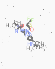 C[C@H](NCc1ccc2c(c1)nc(NC(=O)c1ccc(C(F)F)s1)n2CC1CN(C(=O)/C(C#N)=C/C(C)(C)C)C1)C(C)(C)C